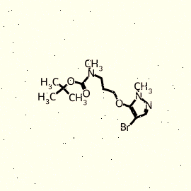 CN(CCCOc1c(Br)cnn1C)C(=O)OC(C)(C)C